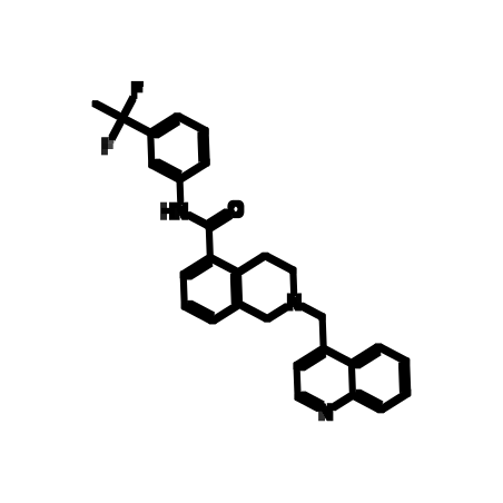 CC(F)(F)c1cccc(NC(=O)c2cccc3c2CCN(Cc2ccnc4ccccc24)C3)c1